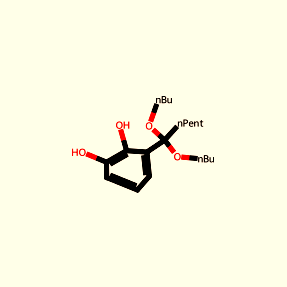 CCCCCC(OCCCC)(OCCCC)c1cccc(O)c1O